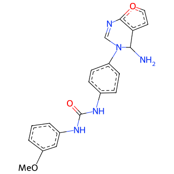 COc1cccc(NC(=O)Nc2ccc(N3C=Nc4occc4C3N)cc2)c1